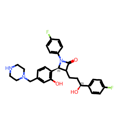 O=C1C(CC[C@H](O)c2ccc(F)cc2)[C@@H](c2ccc(CN3CCNCC3)cc2O)N1c1ccc(F)cc1